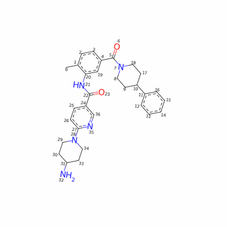 Cc1ccc(C(=O)N2CCC(c3ccccc3)CC2)cc1NC(=O)c1ccc(N2CCC(N)CC2)nc1